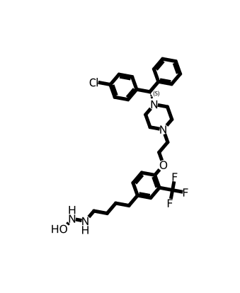 ONNCCCCc1ccc(OCCN2CCN([C@@H](c3ccccc3)c3ccc(Cl)cc3)CC2)c(C(F)(F)F)c1